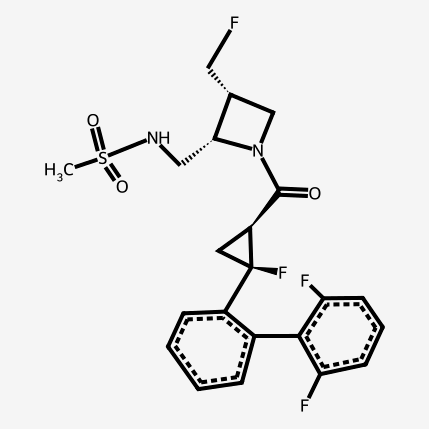 CS(=O)(=O)NC[C@@H]1[C@H](CF)CN1C(=O)[C@@H]1C[C@@]1(F)c1ccccc1-c1c(F)cccc1F